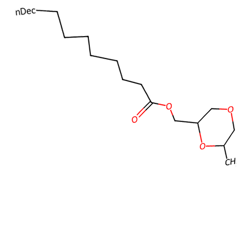 CCCCCCCCCCCCCCCCCC(=O)OCC1COCC(C)O1